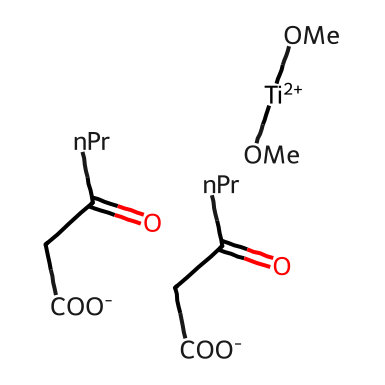 CCCC(=O)CC(=O)[O-].CCCC(=O)CC(=O)[O-].C[O][Ti+2][O]C